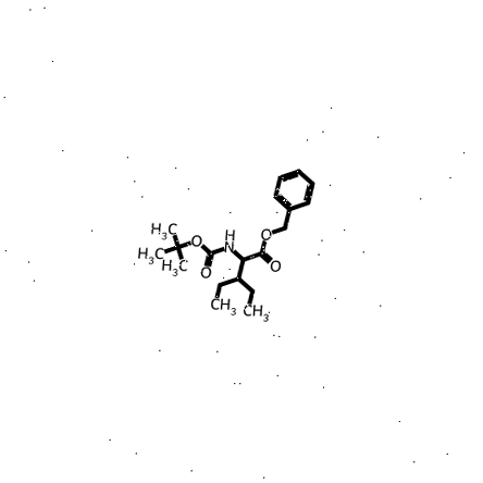 CCC(CC)C(NC(=O)OC(C)(C)C)C(=O)OCc1ccccc1